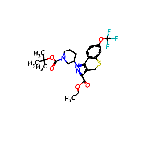 CCOC(=O)c1nn(C2CCCN(C(=O)OC(C)(C)C)C2)c2c1CSc1cc(OC(F)(F)F)ccc1-2